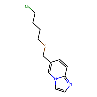 ClCCCCSCc1ccc2nccn2c1